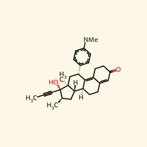 CC#C[C@@]1(O)[C@H](C)C[C@H]2[C@@H]3CCC4=CC(=O)CCC4=C3[C@@H](c3ccc(NC)cc3)C[C@@]21C